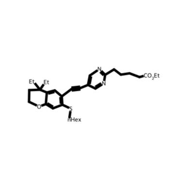 CCCCCCSc1cc2c(cc1C#Cc1cnc(CCCCC(=O)OCC)nc1)C(CC)(CC)CCO2